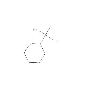 CCCCC(C)(CCC)C1CCCCN1